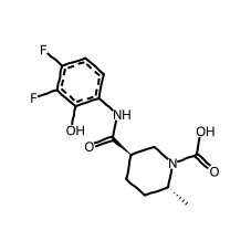 C[C@@H]1CC[C@@H](C(=O)Nc2ccc(F)c(F)c2O)CN1C(=O)O